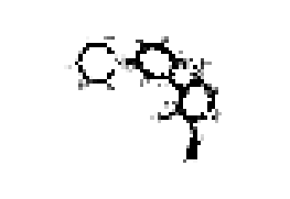 C#Cc1ncc2[nH]c3ccc(N4CCCCC4)cc3c2c1C